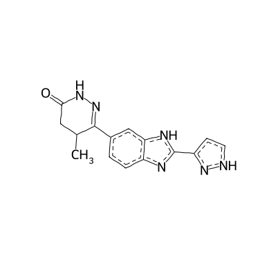 CC1CC(=O)NN=C1c1ccc2nc(-c3cc[nH]n3)[nH]c2c1